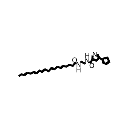 CCC=CCC=CCC=CCC=CCC=CCCCC(=O)NCCNC(=O)c1cncc(-c2ccccc2)c1